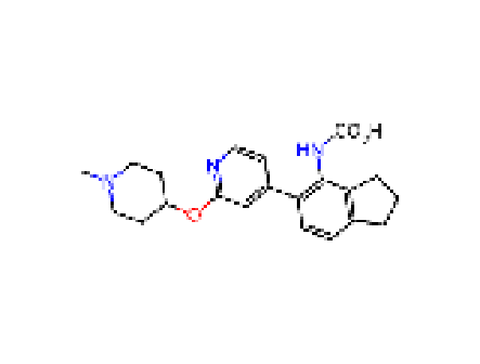 CN1CCC(Oc2cc(-c3ccc4c(c3NC(=O)O)CCC4)ccn2)CC1